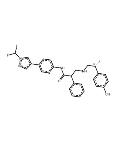 C[C@@H](CNCC(C(=O)Nc1ccc(-c2cnn(C(F)F)c2)cn1)c1ccccc1)c1ccc(C#N)cc1